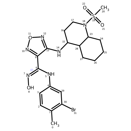 Cc1ccc(N/C(=N\O)c2nonc2NC2CCN(S(C)(=O)=O)C3CCCCC23)cc1Br